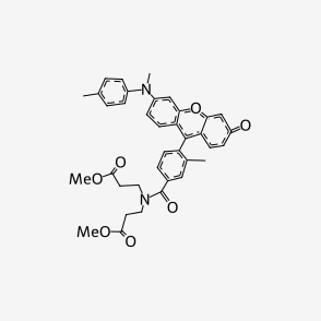 COC(=O)CCN(CCC(=O)OC)C(=O)c1ccc(-c2c3ccc(=O)cc-3oc3cc(N(C)c4ccc(C)cc4)ccc23)c(C)c1